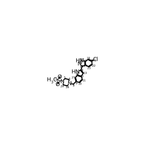 CS(=O)(=O)N1CCN(Cc2ccc3cc(-c4n[nH]c5cc(Cl)ccc45)[nH]c3c2)CC1